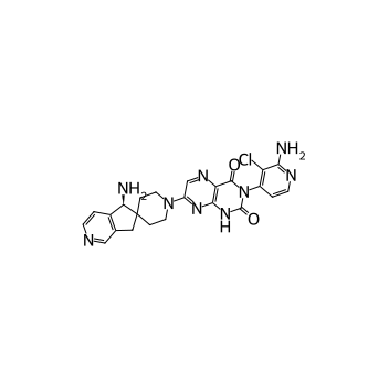 Nc1nccc(-n2c(=O)[nH]c3nc(N4CCC5(CC4)Cc4cnccc4[C@H]5N)cnc3c2=O)c1Cl